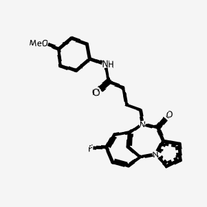 COC1CCC(NC(=O)CCCN2C(=O)c3cccn3C3C=CC(F)=CC2=C3)CC1